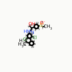 CC[S+]([O-])c1ccc(C(CO)c2nc3c(Cl)c(-c4ccccc4C(C)C)c(Cl)cc3[nH]2)cc1